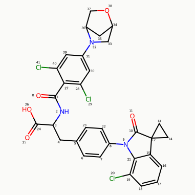 O=C(NC(Cc1ccc(N2C(=O)C3(CC3)c3cccc(Cl)c32)cc1)C(=O)O)c1c(Cl)cc(N2CC3CC2CO3)cc1Cl